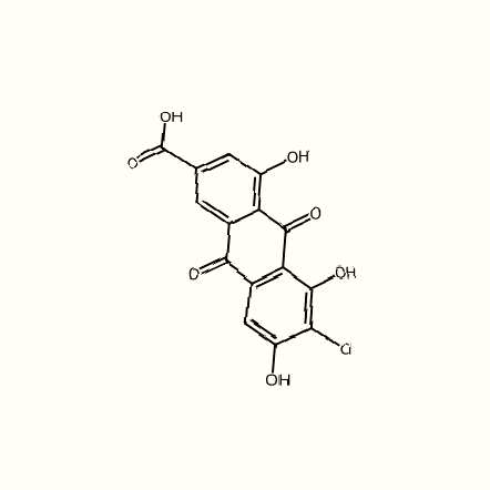 O=C(O)c1cc(O)c2c(c1)C(=O)c1cc(O)c(Cl)c(O)c1C2=O